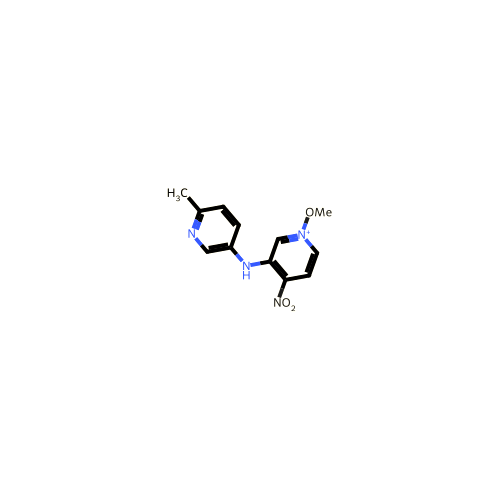 CO[n+]1ccc([N+](=O)[O-])c(Nc2ccc(C)nc2)c1